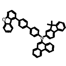 CC1(C)c2ccccc2-c2ccc(N(c3ccc(-c4ccc(-c5cccc6oc7ccccc7c56)cc4)cc3)c3cc4ccccc4c4ccccc34)cc21